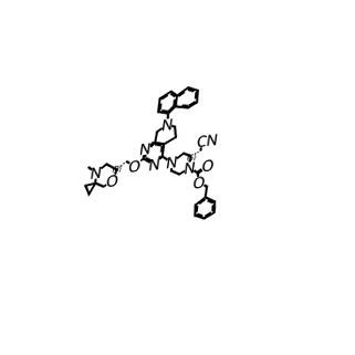 CN1C[C@H](COc2nc3c(c(N4CCN(C(=O)OCc5ccccc5)[C@@H](CC#N)C4)n2)CCN(c2cccc4ccccc24)C3)OCC12CC2